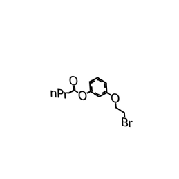 CCCC(=O)Oc1cccc(OCCBr)c1